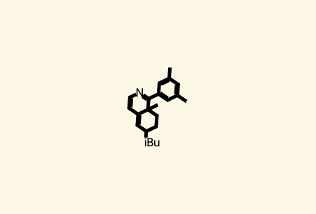 CCC(C)C1C=C2C=CN=C(c3cc(C)cc(C)c3)C2(C)CC1